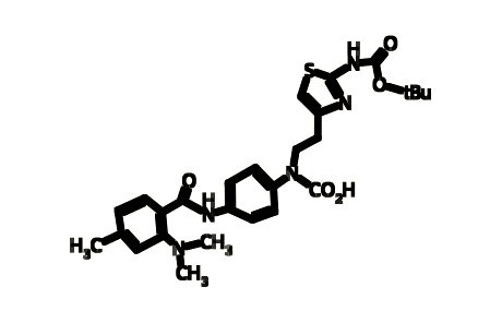 Cc1ccc(C(=O)Nc2ccc(N(CCc3csc(NC(=O)OC(C)(C)C)n3)C(=O)O)cc2)c(N(C)C)c1